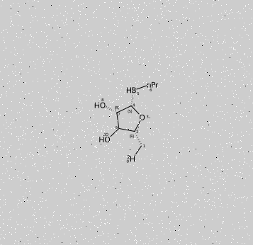 [2H]C[C@H]1O[C@@H](BCCC)[C@@H](O)C1O